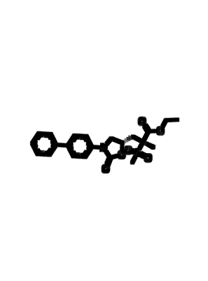 CCOC(=O)[C@@](C)(C[C@H]1CN(c2ccc(-c3ccccc3)cc2)C(=O)O1)S(C)(=O)=O